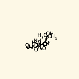 CC(C)(O)C#Cc1cc2c(cc1F)OCCn1c-2nc(C(N)=O)c1C(=O)NCC1CCOC1